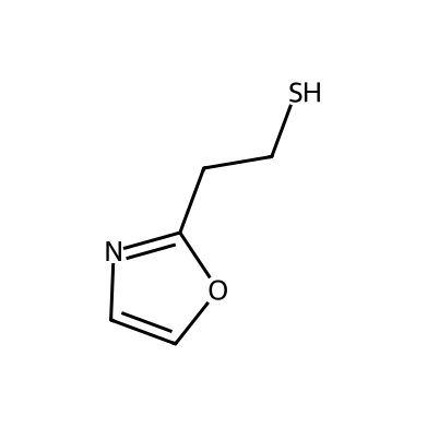 SCCc1ncco1